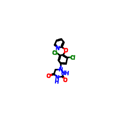 O=C1CN(c2cc(Cl)c(Oc3ccccn3)c(Cl)c2)NC(=O)N1